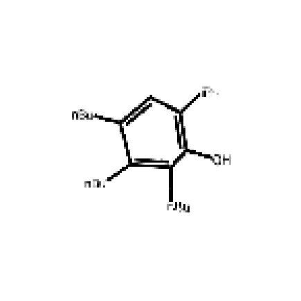 CCCCc1cc([C](C)C)c(O)c(CCCC)c1CCCC